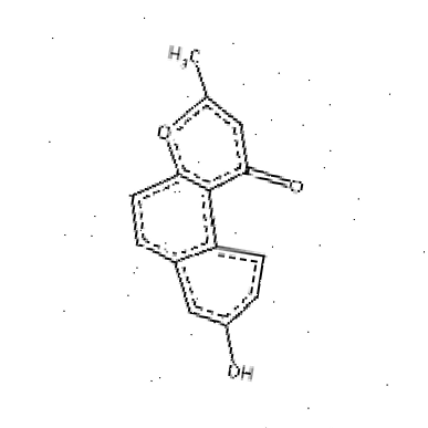 Cc1cc(=O)c2c(ccc3cc(O)ccc32)o1